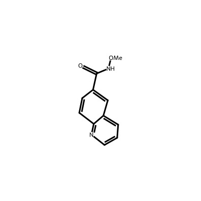 CONC(=O)c1ccc2ncccc2c1